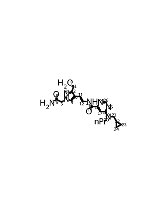 C=Cc1nn(CC(N)=O)cc1/C=C/NC(=O)c1cc(N(CCC)CC2CC2)ncn1